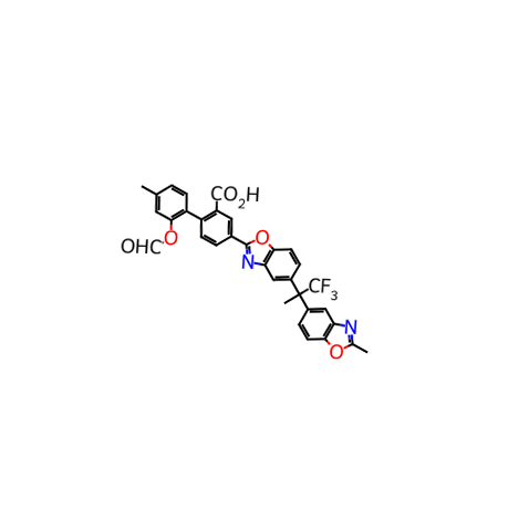 Cc1ccc(-c2ccc(-c3nc4cc(C(C)(c5ccc6oc(C)nc6c5)C(F)(F)F)ccc4o3)cc2C(=O)O)c(OC=O)c1